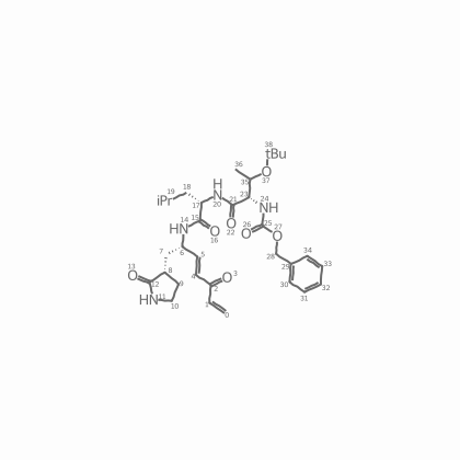 C=CC(=O)/C=C/[C@H](C[C@@H]1CCNC1=O)NC(=O)[C@H](CC(C)C)NC(=O)[C@@H](NC(=O)OCc1ccccc1)C(C)OC(C)(C)C